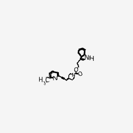 Cc1cccc(C#CC=C2CCN(C(=O)OCCc3c[nH]c4ccccc34)CC2)n1